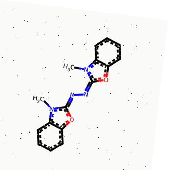 Cn1c(=N/N=c2\oc3ccccc3n2C)oc2ccccc21